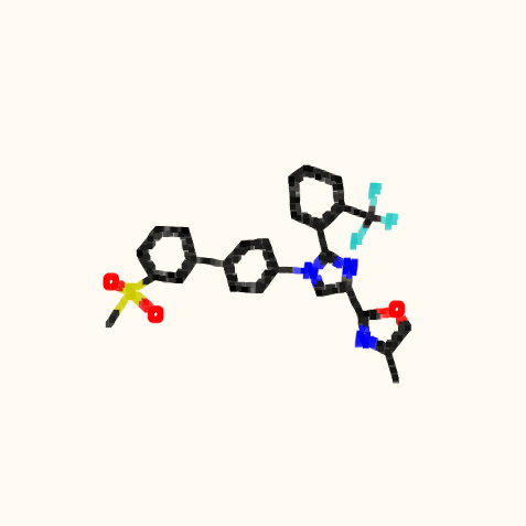 Cc1coc(-c2cn(-c3ccc(-c4cccc(S(C)(=O)=O)c4)cc3)c(-c3ccccc3C(F)(F)F)n2)n1